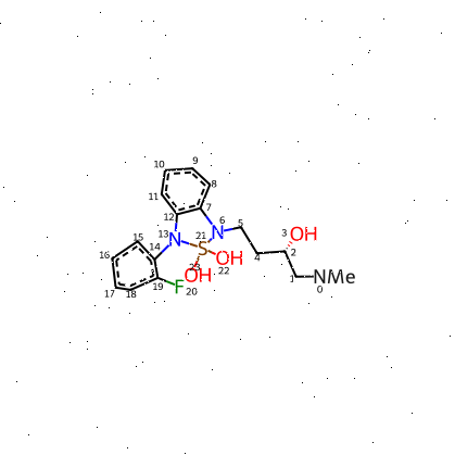 CNC[C@@H](O)CCN1c2ccccc2N(c2ccccc2F)S1(O)O